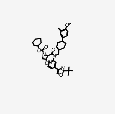 COc1ccc(C2CCC(CN(C(=O)C3C(O)CN3C(=O)OC3CCCCC3)c3cc(-c4coc(C(C)(C)C)n4)ccn3)CC2)cc1C